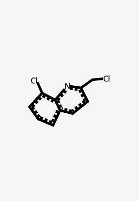 ClCc1ccc2cccc(Cl)c2n1